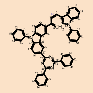 C=C(/C=C\c1cn(-c2ccccc2)c2ccccc12)c1ccc2c(c1)c1cc(-c3nc(-c4ccccc4)nc(-c4ccccc4)n3)ccc1n2-c1ccccc1